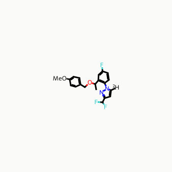 [2H]c1cc(C(F)F)nn1-c1ccc(F)cc1C(C)OCc1ccc(OC)cc1